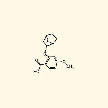 COc1ccc(C(=O)O)c(OC2CC3CCC2C3)c1